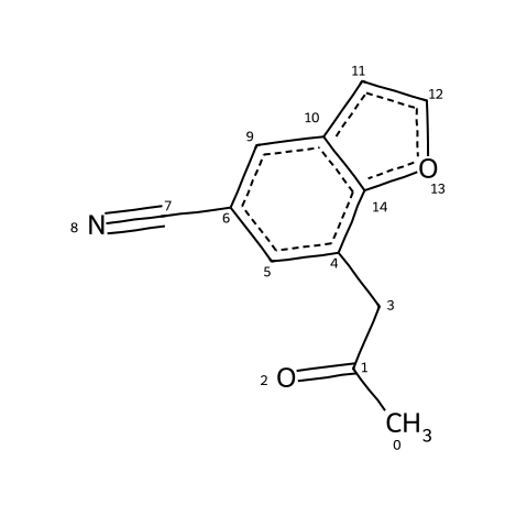 CC(=O)Cc1cc(C#N)cc2ccoc12